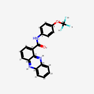 O=C(Nc1ccc(OC(F)(F)F)cc1)c1cccc2nc3ccccc3nc12